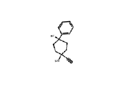 C#C[C@]1(O)CC[C@](C#N)(c2ccccc2)CC1